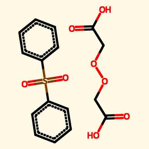 O=C(O)COOCC(=O)O.O=S(=O)(c1ccccc1)c1ccccc1